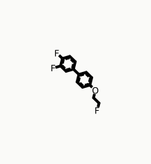 FCCOc1ccc(-c2ccc(F)c(F)c2)cc1